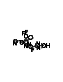 CC(C)(O)c1ncc(-c2cn3c4c(nc3cc2F)[C@H](OCc2cccnc2)C[C@@H]4c2ccccc2OC(F)F)cn1